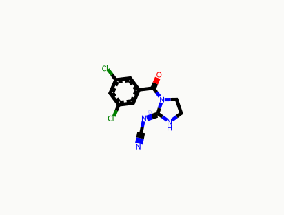 N#C/N=C1\NCCN1C(=O)c1cc(Cl)cc(Cl)c1